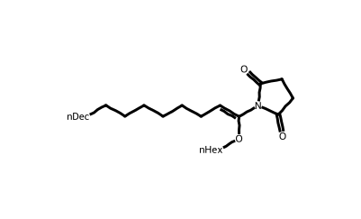 CCCCCCCCCCCCCCCCC=C(OCCCCCC)N1C(=O)CCC1=O